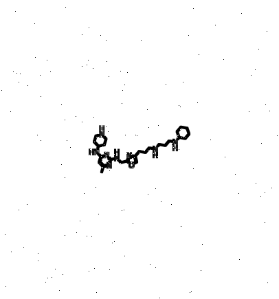 Cc1cc(NC2CCNCC2)nc(NCc2nc(CCCNCCCNC3CCCCC3)co2)n1